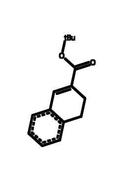 CC(C)(C)OC(=O)C1=Cc2ccccc2CC1